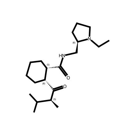 CCN1CCC[C@@H]1CNC(=O)[C@H]1CCCC[C@H]1C(=O)[C@@H](C)C(C)C